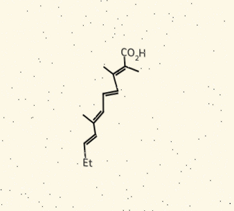 CC/C=C/C(C)=C/C=C/C(C)=C(\C)C(=O)O